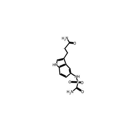 NC(=O)[CH]Cc1c[nH]c2ccc(NS(=O)(=O)C(N)=O)cc12